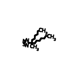 CCCCCCCC(C)(CCCCCC)c1nnsn1